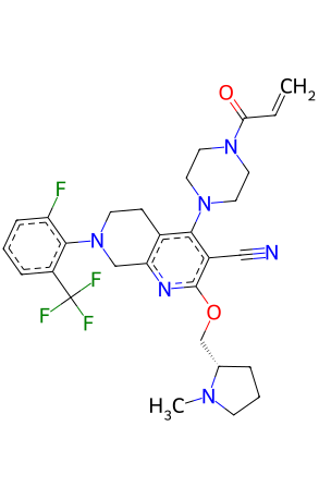 C=CC(=O)N1CCN(c2c(C#N)c(OC[C@@H]3CCCN3C)nc3c2CCN(c2c(F)cccc2C(F)(F)F)C3)CC1